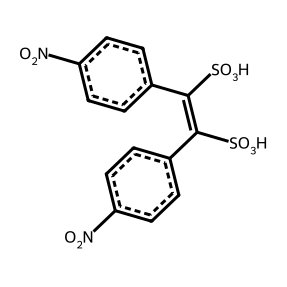 O=[N+]([O-])c1ccc(C(=C(c2ccc([N+](=O)[O-])cc2)S(=O)(=O)O)S(=O)(=O)O)cc1